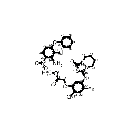 COC(=O)CSc1cc(/N=c2\sc(=O)n3n2CCCC3)c(F)cc1Cl.Nc1c([N+](=O)[O-])ccc(Oc2ccccc2)c1Cl